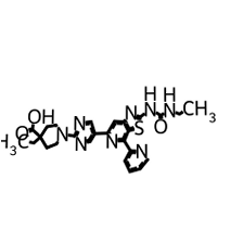 CCNC(=O)Nc1nc2cc(-c3cnc(N4CCC(CC)(C(=O)O)CC4)nc3)nc(-c3ccccn3)c2s1